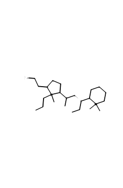 CCCC1(C)C(C(C)C[C@H](CC)C2CCCCC2(C)C)CCC1[C@H](C)CN